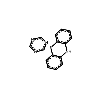 c1ccc2c(c1)Nc1ccccc1S2.c1ncncn1